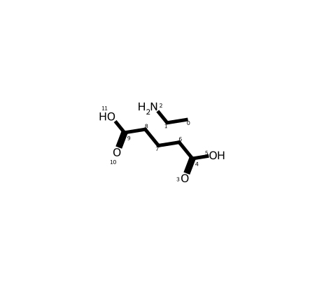 CCN.O=C(O)CCCC(=O)O